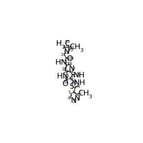 Cc1nnccc1C1=CN/C(=C2\C(=N)c3ncc(NC(=O)CN4CC(C)(C)C4)cc3NC2=O)S1